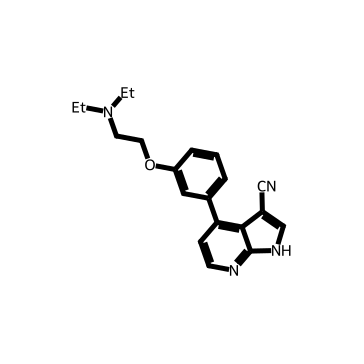 CCN(CC)CCOc1cccc(-c2ccnc3[nH]cc(C#N)c23)c1